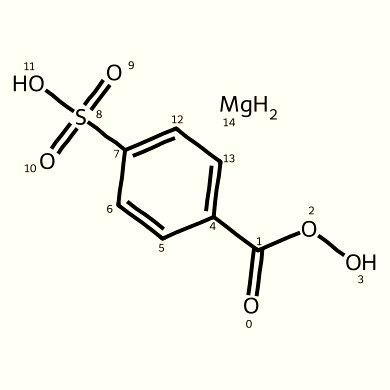 O=C(OO)c1ccc(S(=O)(=O)O)cc1.[MgH2]